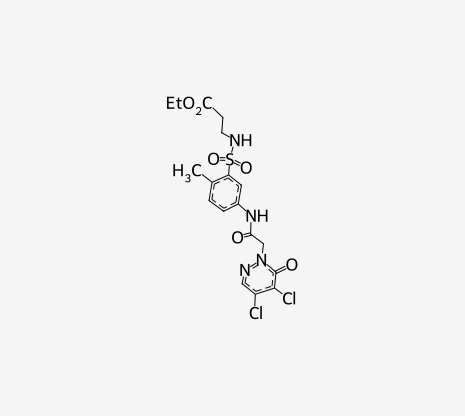 CCOC(=O)CCNS(=O)(=O)c1cc(NC(=O)Cn2ncc(Cl)c(Cl)c2=O)ccc1C